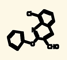 O=Cc1cc2cccc(Cl)c2nc1Oc1ccccc1